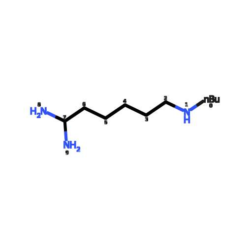 CCCCNCCCCCC(N)N